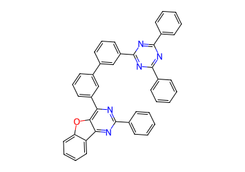 c1ccc(-c2nc(-c3ccccc3)nc(-c3cccc(-c4cccc(-c5nc(-c6ccccc6)nc6c5oc5ccccc56)c4)c3)n2)cc1